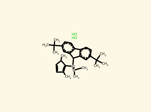 CC1=[C]([Zr]([CH]2c3cc(C(C)(C)C)ccc3-c3ccc(C(C)(C)C)cc32)=[Si](C)C)C(C)C=C1.Cl.Cl